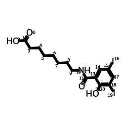 O=C(O)CCCCCCCNC(=O)c1cc(I)cc(I)c1O